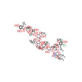 COC[C@H]1O[C@@H](O[C@@H]2OC[C@@H]3O[C@@]4(OC[C@@H](OC(=O)c5c(C)cc(O)cc5O)[C@@H]5OCO[C@H]54)O[C@H]3[C@H]2O)C(OC)[C@@H](O)C1O[C@@H]1O[C@H](C)[C@H](OC)[C@@H](O[C@@H]2O[C@H](C)[C@H]3OC4(C[C@@H](O)[C@H](O[C@H]5C[C@@H](O[C@@H]6C[C@](C)([N+](=O)[O-])[C@@H](OC)[C@H](C)O6)[C@H](OC(=O)c6c(C)c(Cl)c(O)c(Cl)c6OC)[C@@H](C)O5)[C@@H](C)O4)O[C@]3(C)[C@@H]2O)[C@H]1O